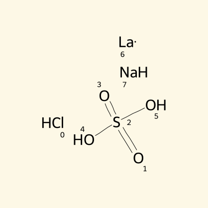 Cl.O=S(=O)(O)O.[La].[NaH]